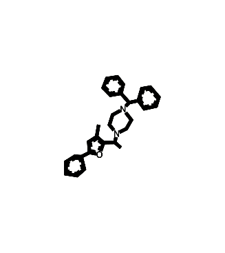 Cc1cc(-c2ccccc2)oc1C(C)N1CCN(C(c2ccccc2)c2ccccc2)CC1